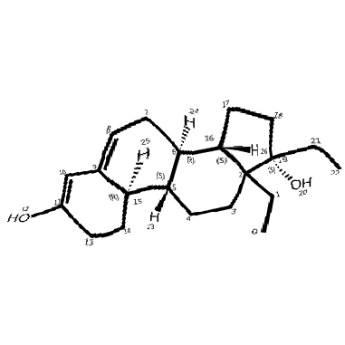 CCC12CC[C@H]3[C@@H](CC=C4C=C(O)CC[C@@H]43)[C@@H]1CC[C@@]2(O)CC